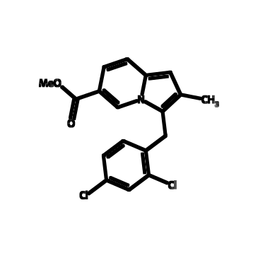 COC(=O)c1ccc2cc(C)c(Cc3ccc(Cl)cc3Cl)n2c1